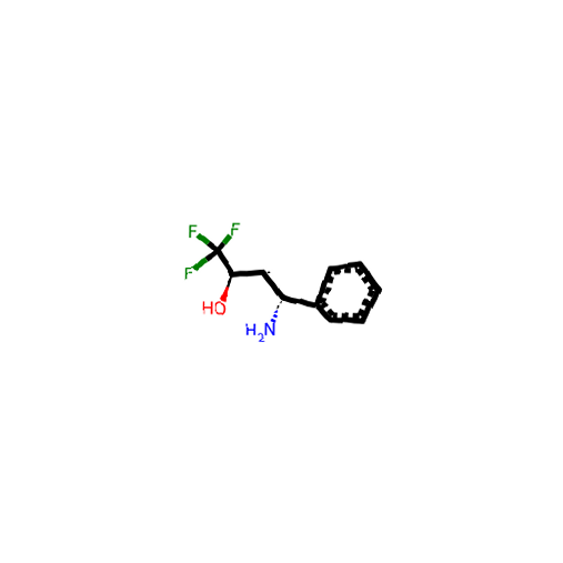 N[C@H]([CH][C@@H](O)C(F)(F)F)c1ccccc1